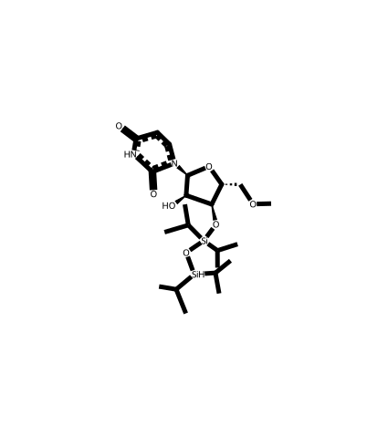 COC[C@H]1O[C@H](n2ccc(=O)[nH]c2=O)[C@H](O)[C@@H]1O[Si](O[SiH](C(C)C)C(C)C)(C(C)C)C(C)C